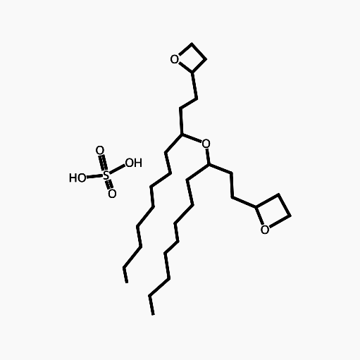 CCCCCCCCC(CCC1CCO1)OC(CCCCCCCC)CCC1CCO1.O=S(=O)(O)O